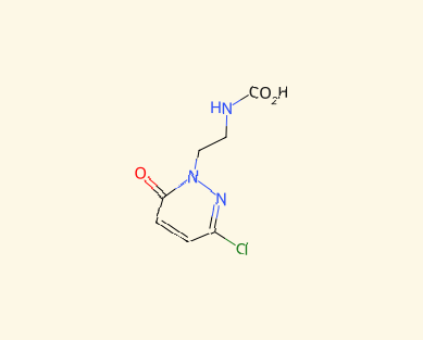 O=C(O)NCCn1nc(Cl)ccc1=O